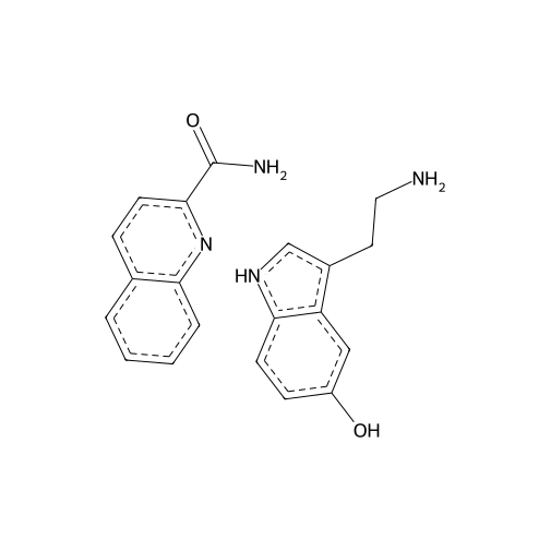 NC(=O)c1ccc2ccccc2n1.NCCc1c[nH]c2ccc(O)cc12